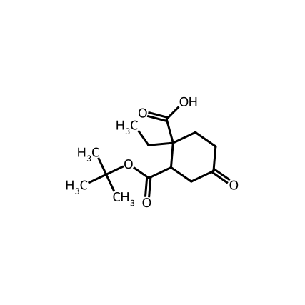 CCC1(C(=O)O)CCC(=O)CC1C(=O)OC(C)(C)C